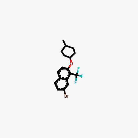 CC1CCC(Oc2ccc3ccc(Br)cc3c2C(F)(F)F)CC1